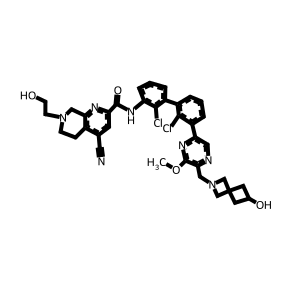 COc1nc(-c2cccc(-c3cccc(NC(=O)c4cc(C#N)c5c(n4)CN(CCO)CC5)c3Cl)c2Cl)cnc1CN1CC2(CC(O)C2)C1